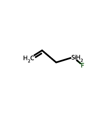 C=CC[SiH2]F